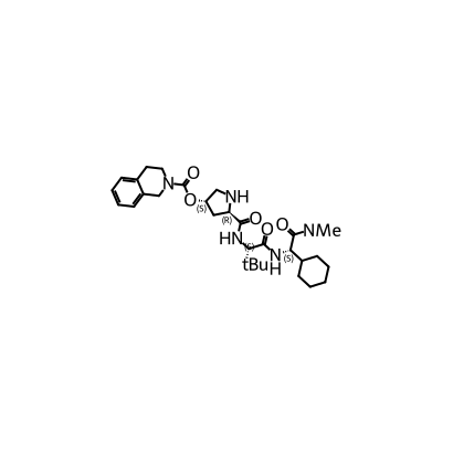 CNC(=O)[C@@H](NC(=O)[C@@H](NC(=O)[C@H]1C[C@H](OC(=O)N2CCc3ccccc3C2)CN1)C(C)(C)C)C1CCCCC1